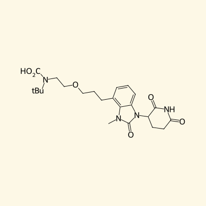 Cn1c(=O)n(C2CCC(=O)NC2=O)c2cccc(CCCOCCN(C(=O)O)C(C)(C)C)c21